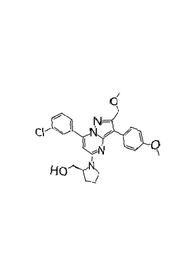 COCc1nn2c(-c3cccc(Cl)c3)cc(N3CCC[C@H]3CO)nc2c1-c1ccc(OC)cc1